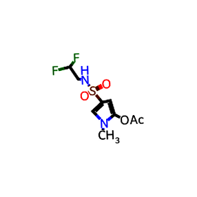 CC(=O)Oc1cc(S(=O)(=O)NCC(F)F)cn1C